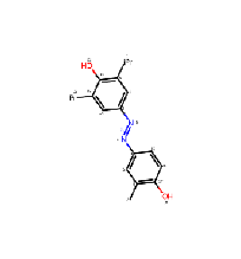 Cc1cc(/N=N/c2cc(C(C)C)c(O)c(C(C)C)c2)ccc1O